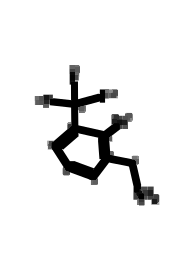 [2H]c1c(CN)cccc1C(F)(F)F